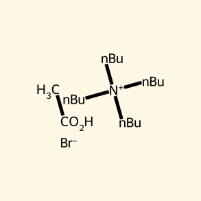 CC(=O)O.CCCC[N+](CCCC)(CCCC)CCCC.[Br-]